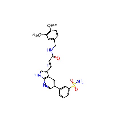 COc1ccc(CNC(=O)/C=C/c2c[nH]c3ncc(-c4cccc(S(N)(=O)=O)c4)cc23)cc1OC